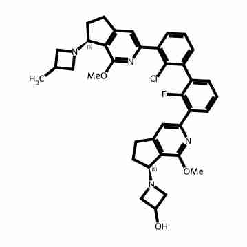 COc1nc(-c2cccc(-c3cccc(-c4cc5c(c(OC)n4)[C@@H](N4CC(C)C4)CC5)c3Cl)c2F)cc2c1[C@@H](N1CC(O)C1)CC2